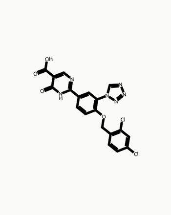 O=C(O)c1cnc(-c2ccc(OCc3ccc(Cl)cc3Cl)c(-n3cnnn3)c2)[nH]c1=O